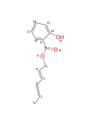 CC=CC=CCOC(=O)c1ccccc1O